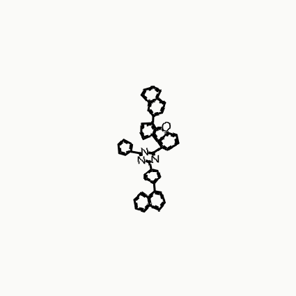 c1ccc(-c2nc(-c3ccc(-c4cccc5ccccc45)cc3)nc(-c3cccc4oc5c(-c6ccc7ccccc7c6)cccc5c34)n2)cc1